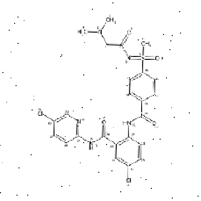 CN(C)CC(=O)N=S(C)(=O)c1ccc(C(=O)Nc2ccc(Cl)cc2C(=O)Nc2ccc(Cl)cn2)cc1